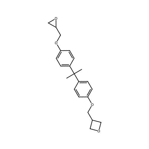 CC(C)(c1ccc(OCC2COC2)cc1)c1ccc(OCC2CO2)cc1